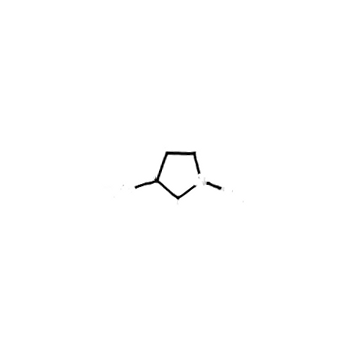 O=C(O)N1CCC([AsH2])C1